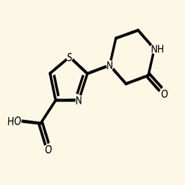 O=C1CN(c2nc(C(=O)O)cs2)CCN1